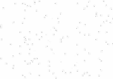 FC(F)(F)c1cccc(-c2ccc3ccc4ccc(-c5cccc(C(F)(F)F)c5)nc4c3n2)c1